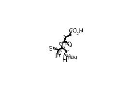 CCCCNCC(OC(=O)/C=C/C(=O)O)C(CC)CC